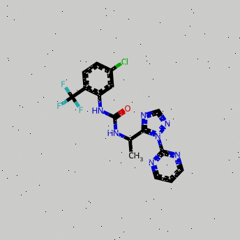 CC(NC(=O)Nc1cc(Cl)ccc1C(F)(F)F)c1ncnn1-c1ncccn1